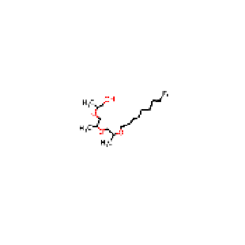 CC(C)CCCCCCCCOC(C)COC(C)COC(C)CO